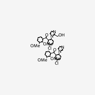 COc1cccc(C(=O)c2cc(Cl)ccc2-n2ccnc2)c1OC.COc1cccc(C(=O)c2cc(Cl)ccc2-n2ccnc2CO)c1OC